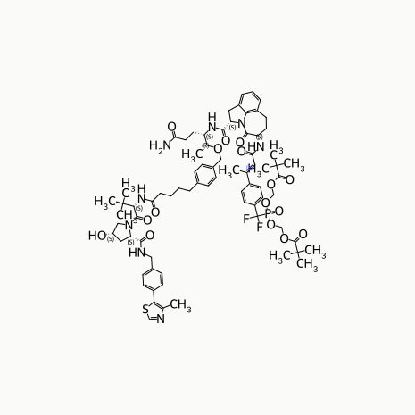 C/C(=C\C(=O)N[C@H]1CCc2cccc3c2N(C1=O)[C@H](C(=O)N[C@@H](CCC(N)=O)[C@@H](C)OCc1ccc(CCCCC(=O)N[C@H](C(=O)N2C[C@@H](O)C[C@H]2C(=O)NCc2ccc(-c4scnc4C)cc2)C(C)(C)C)cc1)C3)c1ccc(C(F)(F)P(=O)(OCOC(=O)C(C)(C)C)OCOC(=O)C(C)(C)C)cc1